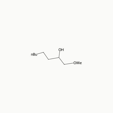 CCCCCCC(O)COC